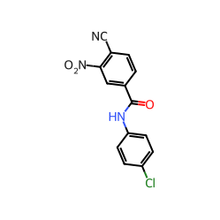 N#Cc1ccc(C(=O)Nc2ccc(Cl)cc2)cc1[N+](=O)[O-]